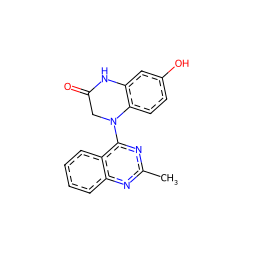 Cc1nc(N2CC(=O)Nc3cc(O)ccc32)c2ccccc2n1